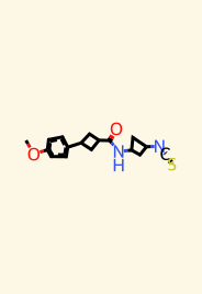 COc1ccc(C2CC(C(=O)NC3CC(N=C=S)C3)C2)cc1